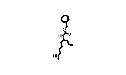 C=CCC(CCCCNC)NC(=O)OCc1ccccc1